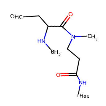 BNC(CC=O)C(=O)N(C)CCC(=O)NCCCCCC